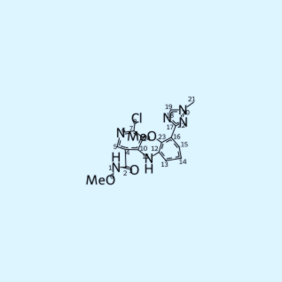 CONC(=O)c1cnc(Cl)cc1Nc1cccc(-c2ncn(C)n2)c1OC